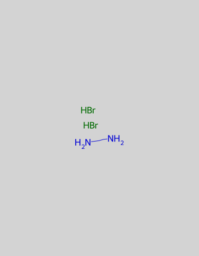 Br.Br.NN